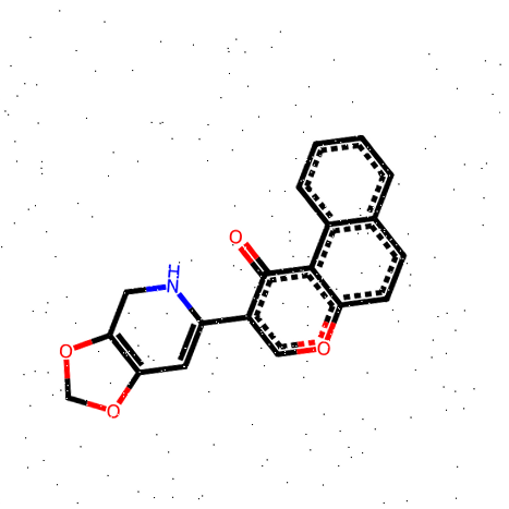 O=c1c(C2=CC3=C(CN2)OCO3)coc2ccc3ccccc3c12